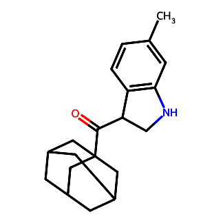 Cc1ccc2c(c1)NCC2C(=O)C12CC3CC(CC(C3)C1)C2